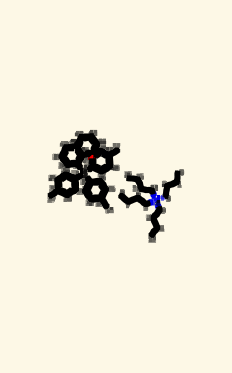 CCCC[N+](CCCC)(CCCC)CCCC.Cc1ccc([B-](c2ccc(C)cc2)(c2ccc(C)cc2)c2cccc3ccccc23)cc1